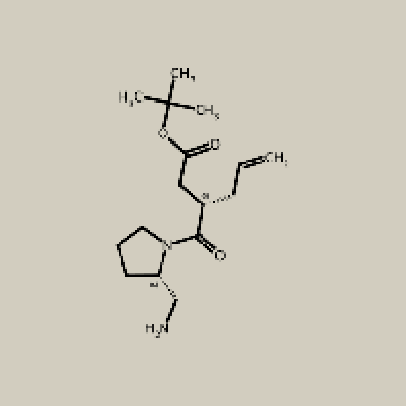 C=CC[C@@H](CC(=O)OC(C)(C)C)C(=O)N1CCC[C@H]1CN